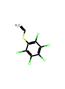 C=CSc1c(Cl)c(Cl)c(Cl)c(Cl)c1Cl